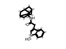 O=C(Cc1cn(O)c2ccccc12)NC12CC3CC(CC(C3)C1)C2